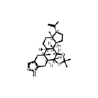 C=C(C)[C@H]1CC[C@H]2[C@@H]3[C@H]4OC(C)(C)O[C@@H]4[C@H]4Cc5[nH]ncc5C[C@]4(C)[C@H]3CC[C@]12C